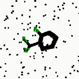 Fc1ccccc1C(F)Br